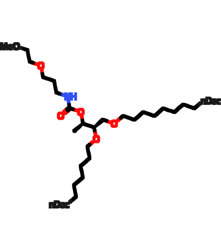 CCCCCCCCCCCCCCCCCCOC[C@@H](OCCCCCCCCCCCCCCCC)[C@@H](C)OC(=O)NCCCOCCOC